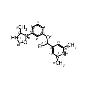 CCC(Oc1cccc(N2OCNC2C)c1)C1=CN(C)NC(C)=C1